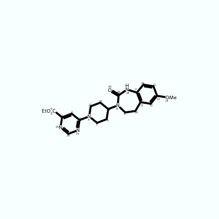 CCOC(=O)c1cc(N2CCC(N3CCc4cc(OC)ccc4NC3=O)CC2)ncn1